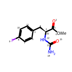 COC(=O)[C@H](Cc1ccc(I)cc1)NC(N)=O